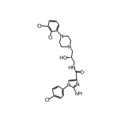 CCCc1nc(C(=O)NC[C@@H](O)CN2CCN(c3cccc(Cl)c3Cl)CC2)cn1-c1ccc(Cl)cc1